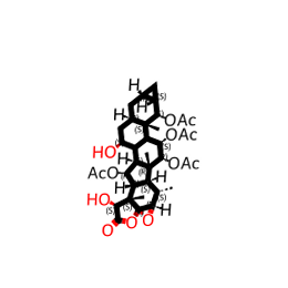 CC(=O)O[C@H]1[C@@H]2[C@H]([C@H](C)[C@H]3O[C@]34OC(=O)[C@@H](O)[C@]24C)[C@]2(C)[C@@H]1C1C([C@H](OC(C)=O)[C@@H]2OC(C)=O)[C@]2(C)[C@H](C[C@@H]3C[C@@H]3[C@@H]2OC(C)=O)C[C@@H]1O